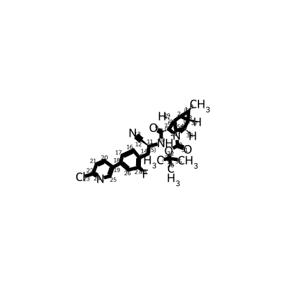 C[C@H]1C2[C@H]1[C@@H]1C[C@H]2[C@@H](C(=O)N[C@H](C#N)Cc2ccc(-c3ccc(Cl)nc3)cc2F)N1C(=O)OC(C)(C)C